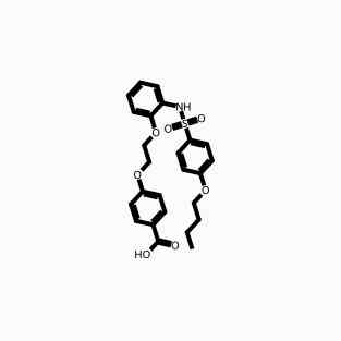 CCCCOc1ccc(S(=O)(=O)Nc2ccccc2OCCOc2ccc(C(=O)O)cc2)cc1